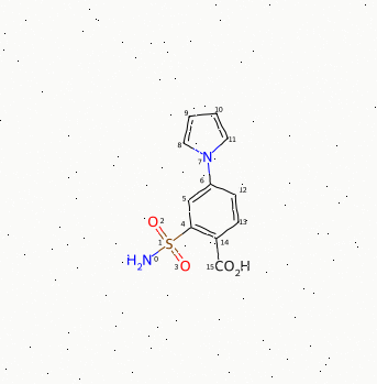 NS(=O)(=O)c1cc(-n2cccc2)ccc1C(=O)O